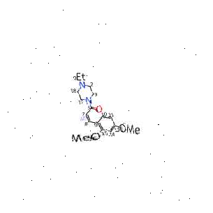 CCN1CCN(C(=O)/C=C\c2ccc(OC)cc2OC)CC1